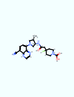 C[C@@H]1CN(c2ccc(C#N)c3nccnc23)C[C@@H]1NC(=O)CC1(F)CCN(C(=O)O)CC1